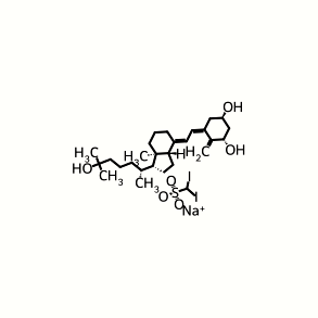 C=C1/C(=C\C=C2/CCC[C@]3(C)[C@@H]([C@H](C)CCCC(C)(C)O)CC[C@@H]23)C[C@@H](O)C[C@@H]1O.O=S(=O)([O-])C(I)I.[Na+]